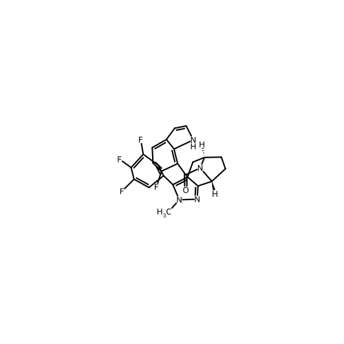 Cn1nc2c(c1-c1cc(F)c(F)c(F)c1)C[C@H]1CC[C@H]2N1C(=O)c1c(F)ccc2cc[nH]c12